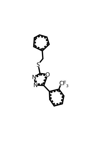 FC(F)(F)c1ccccc1-c1nnc(SCc2ccccc2)o1